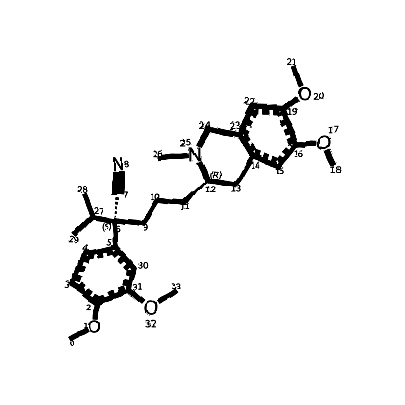 COc1ccc([C@](C#N)(CCC[C@@H]2Cc3cc(OC)c(OC)cc3CN2C)C(C)C)cc1OC